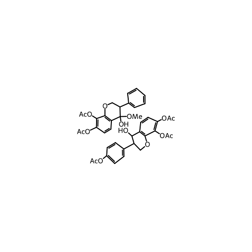 CC(=O)Oc1ccc(C2COc3c(ccc(OC(C)=O)c3OC(C)=O)C2O)cc1.COC1(O)c2ccc(OC(C)=O)c(OC(C)=O)c2OCC1c1ccccc1